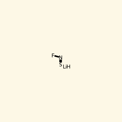 FN=S.[LiH]